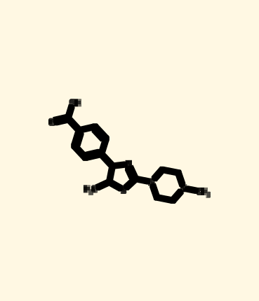 CC1SC(N2CCN(C)CC2)=NC1c1ccc(C(=O)O)cc1